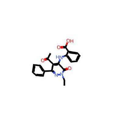 CCn1nc(-c2ccccc2)c(C(C)=O)c(Nc2ccccc2C(=O)O)c1=O